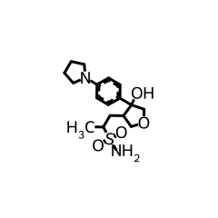 CC(CC1COCC1(O)c1ccc(N2CCCC2)cc1)S(N)(=O)=O